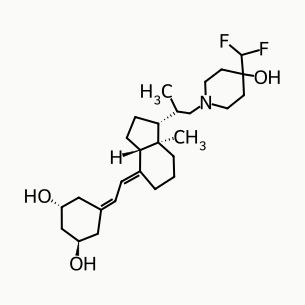 CC(CN1CCC(O)(C(F)F)CC1)[C@H]1CC[C@H]2C(=CC=C3C[C@@H](O)C[C@H](O)C3)CCC[C@]12C